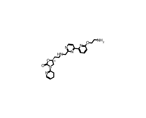 NCCOc1cccc(-c2ccnc(CNCC[C@H]3CN(C4=NC=CCC4)C(=O)O3)n2)n1